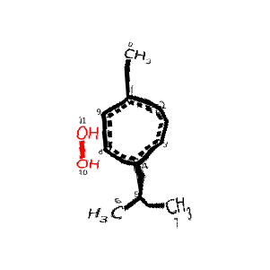 Cc1ccc(C(C)C)cc1.OO